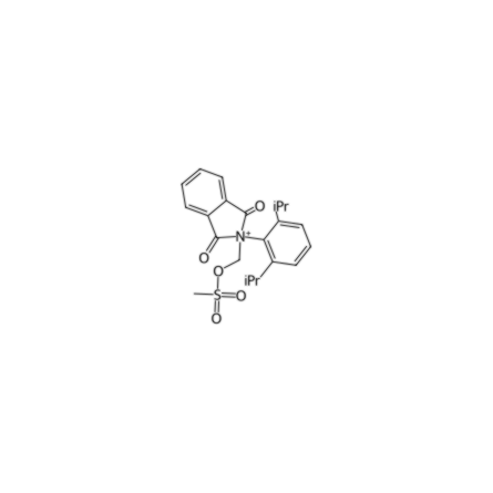 CC(C)c1cccc(C(C)C)c1[N+]1(COS(C)(=O)=O)C(=O)c2ccccc2C1=O